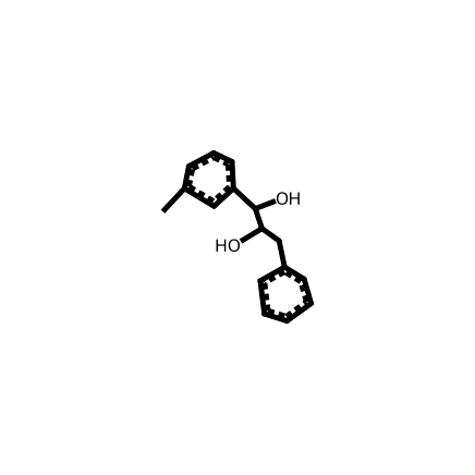 Cc1cccc(C(O)C(O)Cc2ccccc2)c1